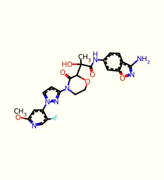 COc1cc(-n2ccc(N3CCOC(C(C)(O)C(=O)Nc4ccc5c(N)noc5c4)C3=O)n2)c(F)cn1